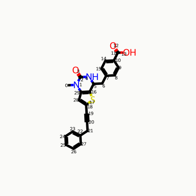 CN1C(=O)NC(Cc2ccc(C(=O)O)cc2)c2sc(C#CCc3ccccc3)cc21